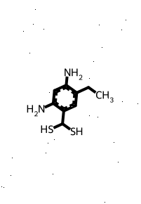 CCc1cc(C(S)S)c(N)cc1N